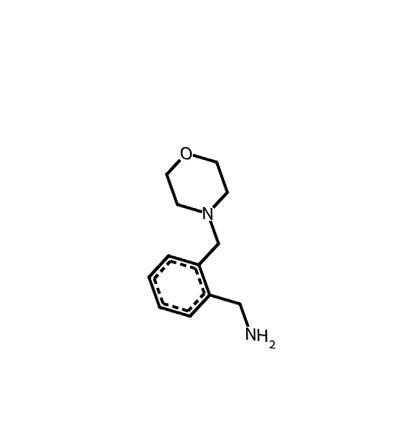 NCc1ccccc1CN1CCOCC1